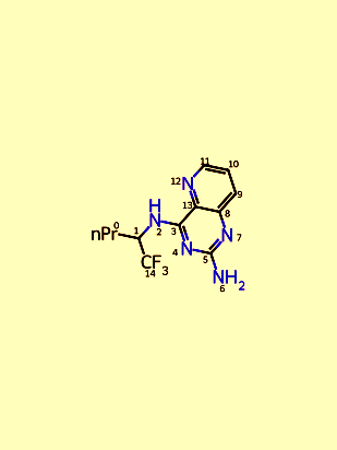 CCCC(Nc1nc(N)nc2cccnc12)C(F)(F)F